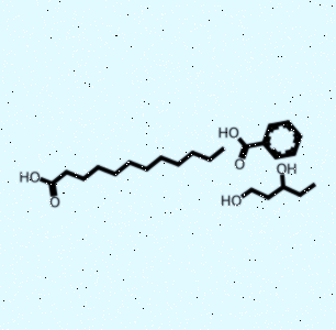 CCC(O)CCO.CCCCCCCCCCCC(=O)O.O=C(O)c1ccccc1